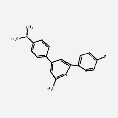 Cc1cc(-c2ccc(N(C)C)cc2)cc(-c2ccc(F)cc2)n1